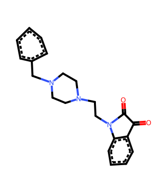 O=C1C(=O)N(CCN2CCN(Cc3ccccc3)CC2)c2ccccc21